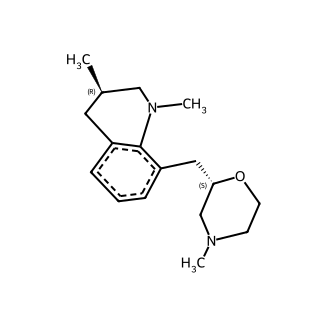 C[C@@H]1Cc2cccc(C[C@H]3CN(C)CCO3)c2N(C)C1